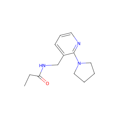 CCC(=O)NCc1cccnc1N1CCCC1